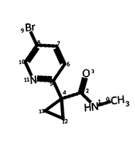 CNC(=O)C1(c2ccc(Br)cn2)CC1